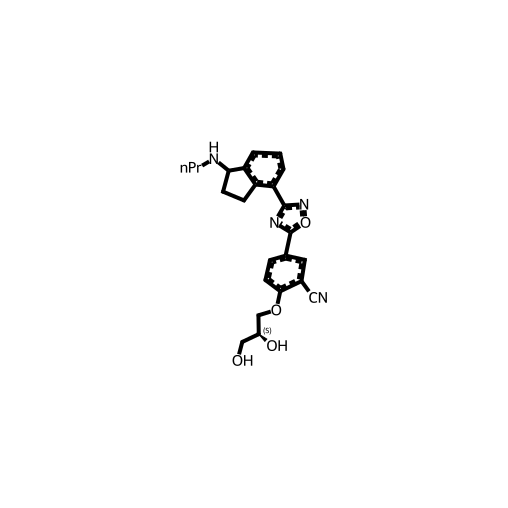 CCCNC1CCc2c(-c3noc(-c4ccc(OC[C@@H](O)CO)c(C#N)c4)n3)cccc21